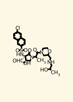 CC(O)CNCC1CN(C(=O)C(C)N2CC[C@H](NS(=O)(=O)c3ccc4cc(Cl)ccc4c3)C2=O)CCO1.O=CO